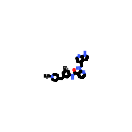 CN1CCC(Cc2cc(NC(=O)c3cccnc3NCc3ccnc4[nH]ccc34)cc(C(F)(F)F)c2)CC1